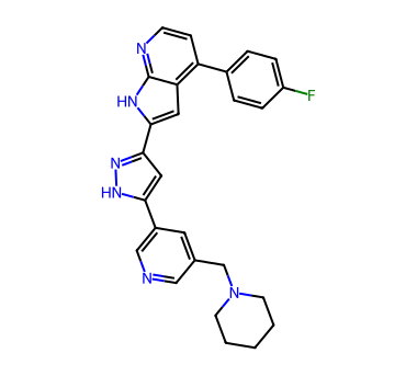 Fc1ccc(-c2ccnc3[nH]c(-c4cc(-c5cncc(CN6CCCCC6)c5)[nH]n4)cc23)cc1